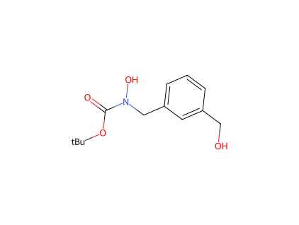 CC(C)(C)OC(=O)N(O)Cc1cccc(CO)c1